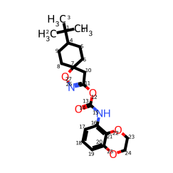 CC(C)(C)C1CCC2(CC1)CC(OC(=O)Nc1cccc3c1OCCO3)=NO2